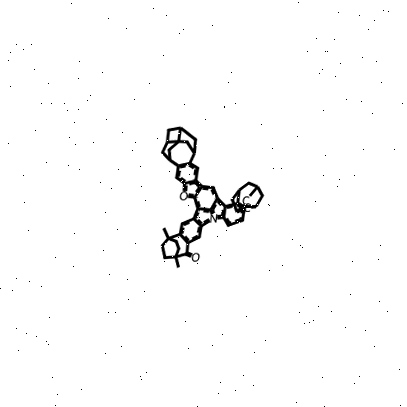 CC12CCC(C)(CC1)c1cc3c4c5oc6cc7c(cc6c5cc5c6c8c(ccc6n(c3cc1C2=O)c54)C1CC2CC(C1)CC8C2)C1CC2CC3CC7CC32C1